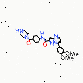 COc1ccc(-c2ccnc3cc(C(=O)N[C@H]4CC[C@H](C(=O)N5CCNCC5)CC4)nn23)cc1OC